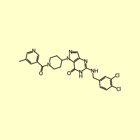 Cc1cncc(C(=O)N2CCC(n3ncc4nc(NCc5ccc(Cl)c(Cl)c5)[nH]c(=O)c43)CC2)c1